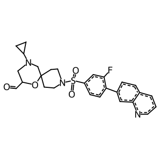 O=CC1CN(C2CC2)CC2(CCN(S(=O)(=O)c3ccc(-c4ccc5cccnc5c4)c(F)c3)CC2)O1